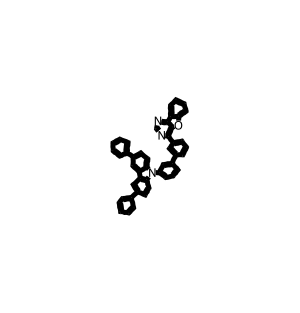 c1ccc(-c2ccc3c(c2)c2cc(-c4ccccc4)ccc2n3-c2cccc(-c3cccc(-c4ncnc5c4oc4ccccc45)c3)c2)cc1